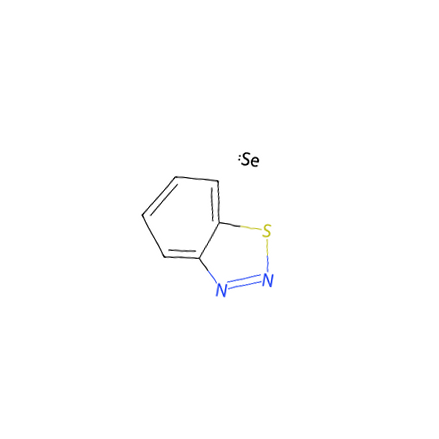 [Se].c1ccc2snnc2c1